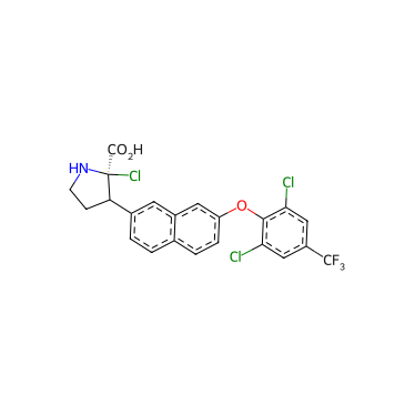 O=C(O)[C@@]1(Cl)NCCC1c1ccc2ccc(Oc3c(Cl)cc(C(F)(F)F)cc3Cl)cc2c1